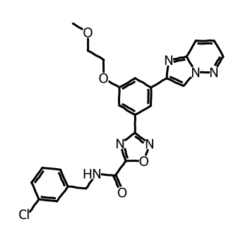 COCCOc1cc(-c2cn3ncccc3n2)cc(-c2noc(C(=O)NCc3cccc(Cl)c3)n2)c1